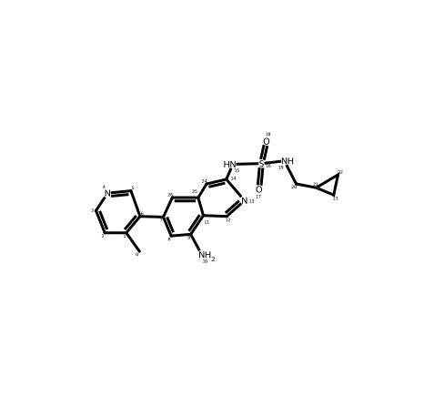 Cc1ccncc1-c1cc(N)c2cnc(NS(=O)(=O)NCC3CC3)cc2c1